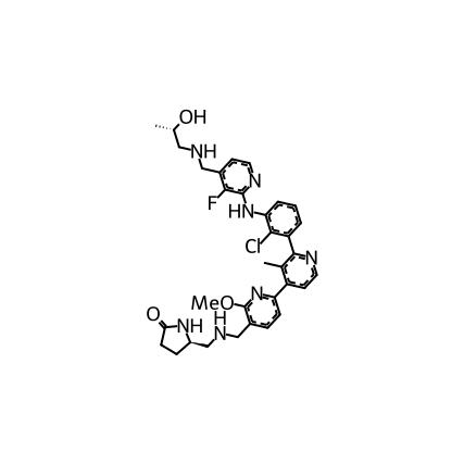 COc1nc(-c2ccnc(-c3cccc(Nc4nccc(CNC[C@H](C)O)c4F)c3Cl)c2C)ccc1CNC[C@H]1CCC(=O)N1